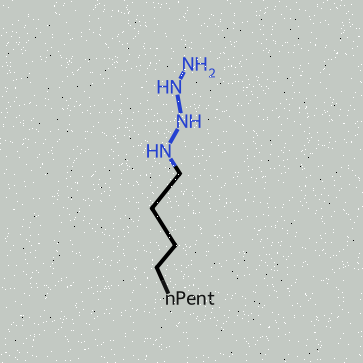 CCCCCCCCCNNNN